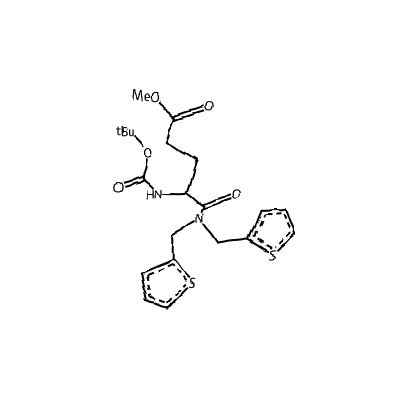 COC(=O)CCC(NC(=O)OC(C)(C)C)C(=O)N(Cc1cccs1)Cc1cccs1